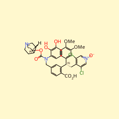 COc1ccc([C@H](Cc2c(Cl)c[n+]([O-])cc2Cl)c2cc(CN(C(=O)O[C@H]3CN4CCC3CC4)c3cccc(O)c3O)ccc2C(=O)O)cc1OC